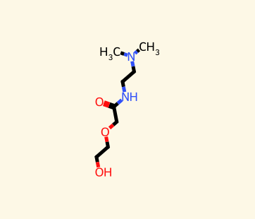 CN(C)CCNC(=O)COCCO